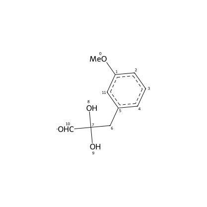 COc1cccc(CC(O)(O)[C]=O)c1